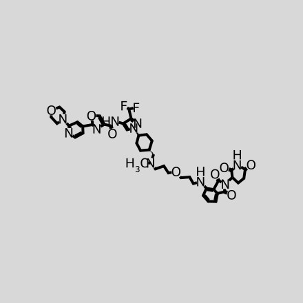 CN(CCCOCCCNc1cccc2c1C(=O)N(C1CCC(=O)NC1=O)C2=O)C[C@H]1CC[C@H](n2cc(NC(=O)c3coc(-c4ccnc(N5CCOCC5)c4)n3)c(C(F)F)n2)CC1